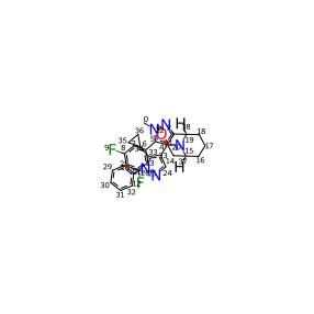 Cn1nc2c(c1-c1cc(F)cc(F)c1)C[C@H]1CCC[C@@H]2N1C(=O)c1cnn(-c2ccccc2)c1C1CC1